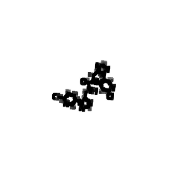 O=C(NCc1ncnn1-c1ccc(Cl)nc1)NCc1ncnn1-c1ccc(Cl)nc1